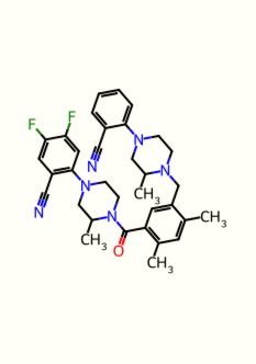 Cc1cc(C)c(C(=O)N2CCN(c3cc(F)c(F)cc3C#N)CC2C)cc1CN1CCN(c2ccccc2C#N)CC1C